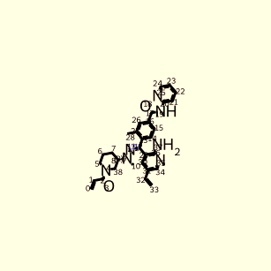 C=CC(=O)N1CCC[C@@H](N(C)/N=C(/c2ccc(C(=O)Nc3ccccn3)cc2C)c2cc(C=C)cnc2N)C1